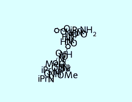 CC[C@H](C)[C@@H]([C@@H](CC(=O)N1CCC[C@H]1[C@H](OC)[C@@H](C)C(=O)N[C@H](Cc1ccccc1)C(=O)NCCc1ccc(NC(=O)[C@@H](CCCNC(N)=O)NC(=O)[C@@H](NC(=O)OCc2ccccc2)C(C)C)cc1)OC)N(C)C(=O)[C@H](NC(=O)[C@H](C(C)C)N(C)C)C(C)C